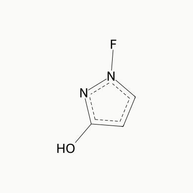 Oc1ccn(F)n1